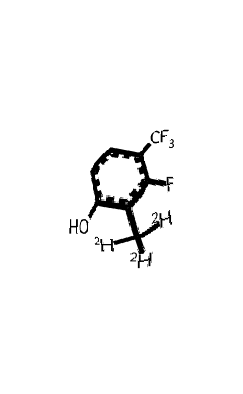 [2H]C([2H])([2H])c1c(O)ccc(C(F)(F)F)c1F